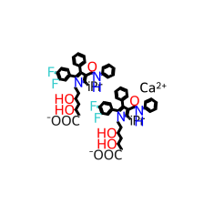 CC(C)c1c(C(=O)Nc2ccccc2)c(-c2ccccc2)c(-c2ccc(F)c(F)c2)n1CC[C@@H](O)C[C@@H](O)CC(=O)[O-].CC(C)c1c(C(=O)Nc2ccccc2)c(-c2ccccc2)c(-c2ccc(F)c(F)c2)n1CC[C@@H](O)C[C@@H](O)CC(=O)[O-].[Ca+2]